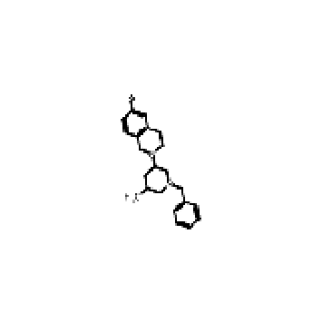 CC1CC(N2CCc3cc(Br)ccc3C2)CN(Cc2ccccc2)C1